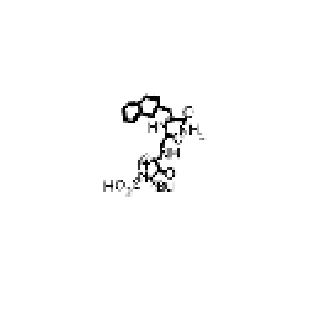 CC[C@H](C)C(NC(=O)O)C(=O)C(=O)NCC(=O)N[C@@H](Cc1ccc2ccccc2c1)C(N)=O